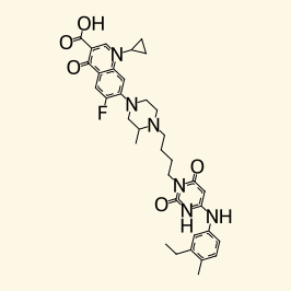 CCc1cc(Nc2cc(=O)n(CCCCN3CCN(c4cc5c(cc4F)c(=O)c(C(=O)O)cn5C4CC4)CC3C)c(=O)[nH]2)ccc1C